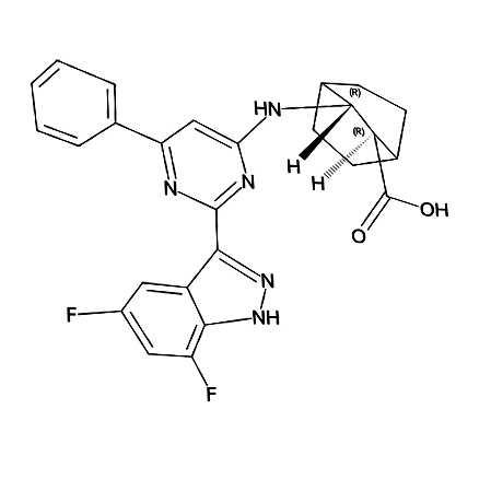 O=C(O)[C@@H]1C2CCC(CC2)[C@H]1Nc1cc(-c2ccccc2)nc(-c2n[nH]c3c(F)cc(F)cc23)n1